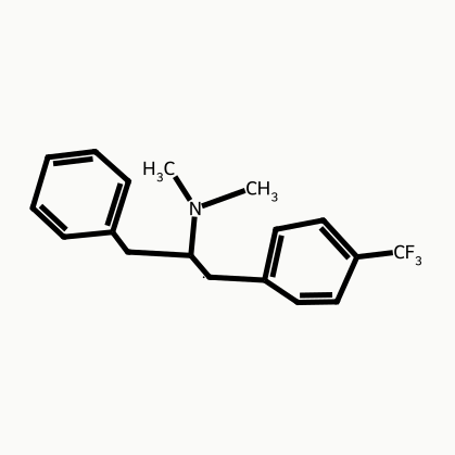 CN(C)C([CH]c1ccc(C(F)(F)F)cc1)Cc1ccccc1